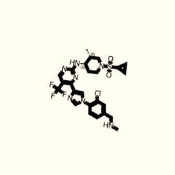 CNCc1ccc(-n2cnc(-c3nc(N[C@H]4CCN(S(=O)(=O)C5CC5)C[C@H]4C)ncc3C(F)(F)F)c2)c(Cl)c1